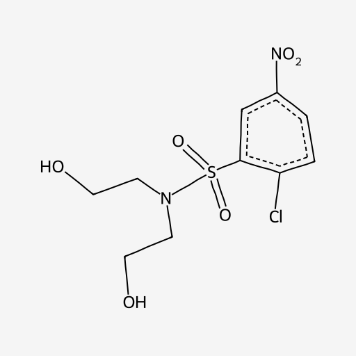 O=[N+]([O-])c1ccc(Cl)c(S(=O)(=O)N(CCO)CCO)c1